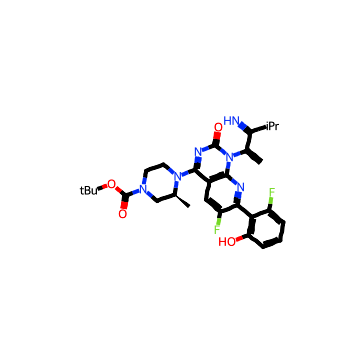 C=C(C(=N)C(C)C)n1c(=O)nc(N2CCN(C(=O)OC(C)(C)C)C[C@@H]2C)c2cc(F)c(-c3c(O)cccc3F)nc21